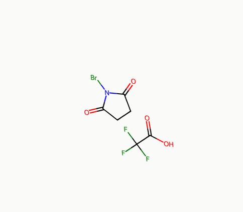 O=C(O)C(F)(F)F.O=C1CCC(=O)N1Br